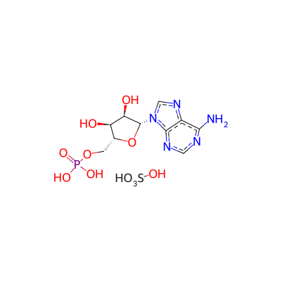 Nc1ncnc2c1ncn2[C@@H]1O[C@H](COP(=O)(O)O)[C@@H](O)[C@H]1O.O=S(=O)(O)O